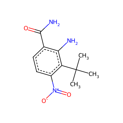 CC(C)(C)c1c([N+](=O)[O-])ccc(C(N)=O)c1N